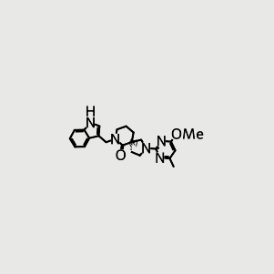 COc1cc(C)nc(N2CC[C@]3(CCCN(Cc4c[nH]c5ccccc45)C3=O)C2)n1